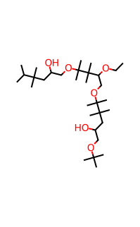 CCOC(COC(C)(C)C(C)(C)CC(O)COC(C)(C)C)C(C)(C)C(C)(C)OCC(O)CC(C)(C)C(C)C